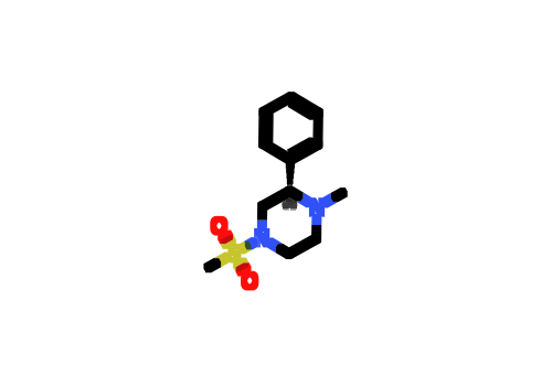 CN1CCN(S(C)(=O)=O)C[C@@H]1c1ccccc1